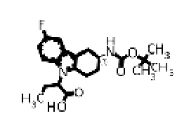 CCC(C(=O)O)n1c2c(c3cc(F)ccc31)C[C@H](NC(=O)OC(C)(C)C)CC2